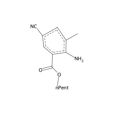 CCCCCOC(=O)c1cc(C#N)cc(C)c1N